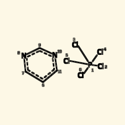 ClP(Cl)(Cl)(Cl)Cl.c1cncnc1